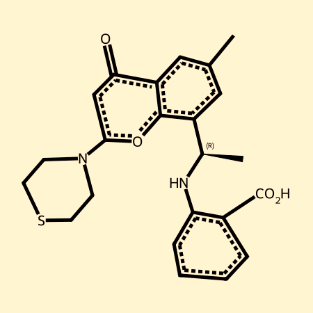 Cc1cc([C@@H](C)Nc2ccccc2C(=O)O)c2oc(N3CCSCC3)cc(=O)c2c1